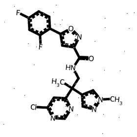 Cn1cc(C(C)(CNC(=O)c2cc(-c3ccc(F)cc3F)on2)c2cc(Cl)ncn2)cn1